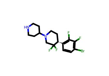 Fc1c(Br)ccc([C@H]2CCN(C3CCNCC3)CC2(F)F)c1F